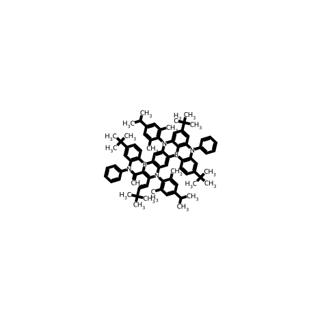 C=C1C2=C(/C=C/C(C)(C)C)N(c3c(C)cc(C(C)C)cc3C)c3cc4c(cc3B2c2ccc(C(C)(C)C)cc2N1c1ccccc1)N(c1c(C)cc(C(C)C)cc1C)c1cc(C(C)(C)C)cc2c1B4c1ccc(C(C)(C)C)cc1N2c1ccccc1